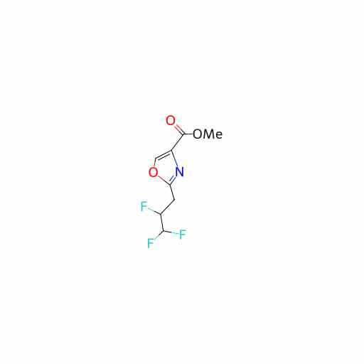 COC(=O)c1coc(CC(F)C(F)F)n1